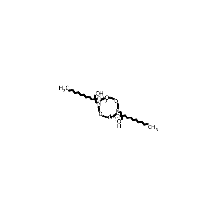 CCCCCCCCCCC(C)(CO)CN1CCOCCOCCN(CC(C)(CO)CCCCCCCCCC)CCOCCOCC1